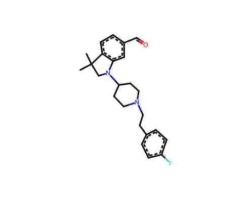 CC1(C)CN(C2CCN(CCc3ccc(F)cc3)CC2)c2cc(C=O)ccc21